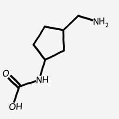 NCC1CCC(NC(=O)O)C1